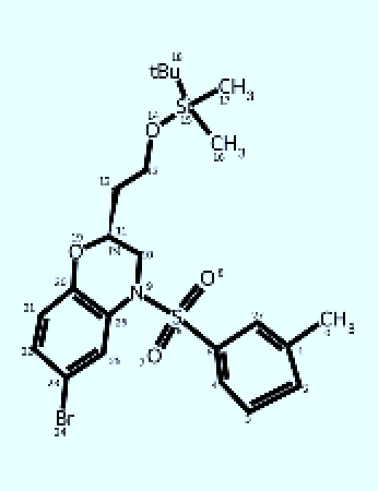 Cc1cccc(S(=O)(=O)N2C[C@H](CCO[Si](C)(C)C(C)(C)C)Oc3ccc(Br)cc32)c1